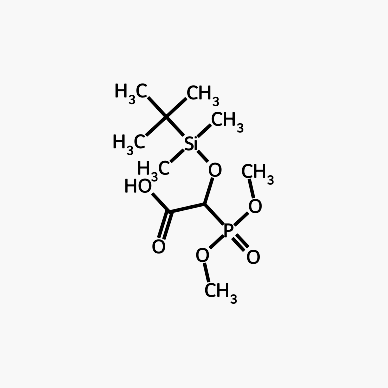 COP(=O)(OC)C(O[Si](C)(C)C(C)(C)C)C(=O)O